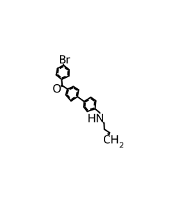 C=CCCNCc1ccc(-c2ccc(C(=O)c3ccc(Br)cc3)cc2)cc1